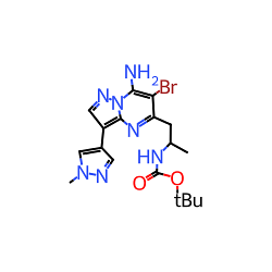 CC(Cc1nc2c(-c3cnn(C)c3)cnn2c(N)c1Br)NC(=O)OC(C)(C)C